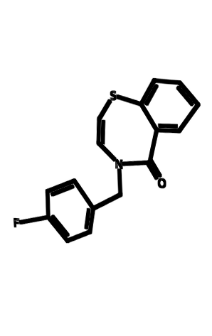 O=C1c2ccccc2SC=CN1Cc1ccc(F)cc1